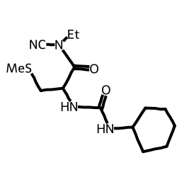 CCN(C#N)C(=O)C(CSC)NC(=O)NC1CCCCC1